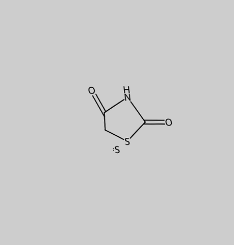 O=C1CSC(=O)N1.[S]